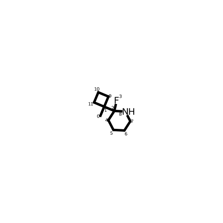 CC1(C2(F)CCCCN2)CCC1